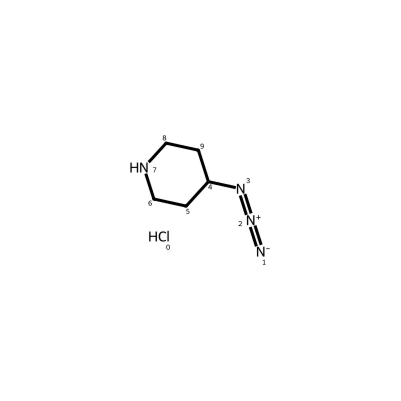 Cl.[N-]=[N+]=NC1CCNCC1